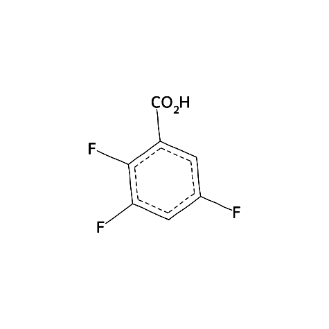 O=C(O)c1cc(F)cc(F)c1F